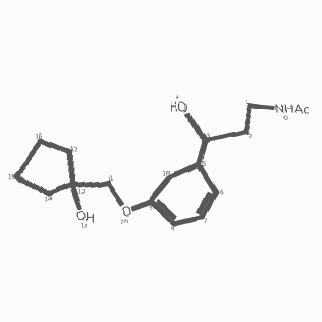 CC(=O)NCCC(O)C1C=CC=C(OCC2(O)CCCC2)C1